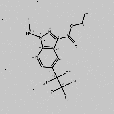 CCOC(=O)c1nn(PI)c2ncc(C(F)(F)C(F)(F)F)cc12